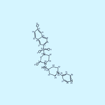 O=C1CN(S(=O)(=O)c2ccc3cc(Cl)ccc3c2)CCN1NC1CCN(c2ccncc2)CC1